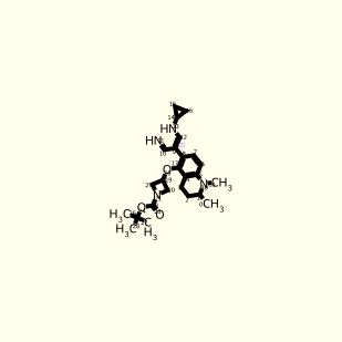 CC1CCc2c(ccc(/C(C=N)=C/NC3CC3)c2OC2CN(C(=O)OC(C)(C)C)C2)N1C